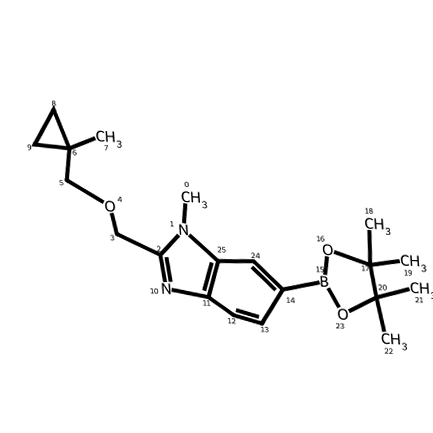 Cn1c(COCC2(C)CC2)nc2ccc(B3OC(C)(C)C(C)(C)O3)cc21